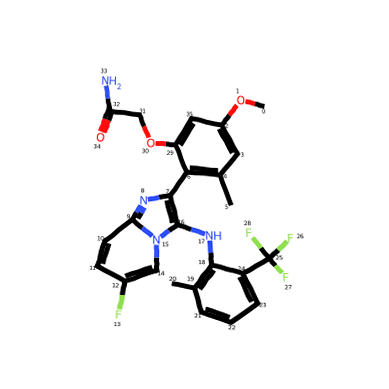 COc1cc(C)c(-c2nc3ccc(F)cn3c2Nc2c(C)cccc2C(F)(F)F)c(OCC(N)=O)c1